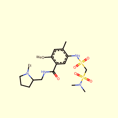 CCN1CCCC1CNC(=O)c1cc(NS(=O)(=O)CS(=O)(=O)N(C)C)c(C)cc1OC